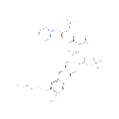 COCCCOc1cc(C[C@@H](C[C@H](NC(=O)OC(C)(C)C)[C@@H](O)C[C@H](C(=O)N[C@H](C(=O)NN2CCOCC2)C(C)C)C(C)C)C(C)C)ccc1OC